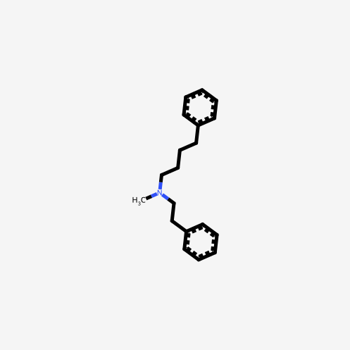 CN(CCCCc1ccccc1)CCc1ccccc1